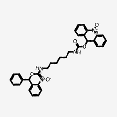 O=C(NCCCCCCNC(=O)OC(c1ccccc1)c1ccccc1[N+](=O)[O-])OC(c1ccccc1)c1ccccc1[N+](=O)[O-]